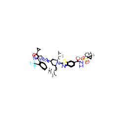 CCC1CC(NCc2c(-c3ccccc3C(F)(F)F)noc2C2CC2)CC(C)N1c1nc2ccc(C(=O)NS(=O)(=O)C3(C)CC3)cc2s1